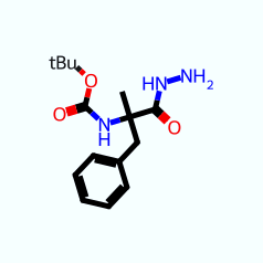 CC(C)(C)OC(=O)NC(C)(Cc1ccccc1)C(=O)NN